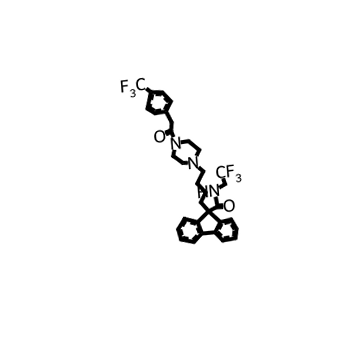 O=C(Cc1ccc(C(F)(F)F)cc1)N1CCN(CCCCC2(C(=O)NCC(F)(F)F)c3ccccc3-c3ccccc32)CC1